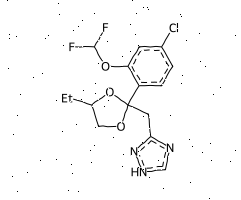 CCC1COC(Cc2nc[nH]n2)(c2ccc(Cl)cc2OC(F)F)O1